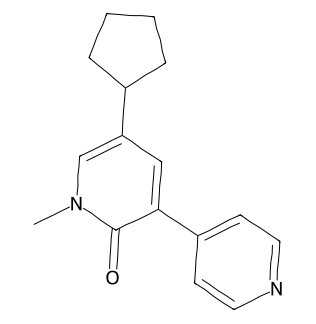 Cn1cc(C2CCCC2)cc(-c2ccncc2)c1=O